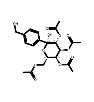 CC(=O)OC[C@H]1O[C@@](O)(c2ccc(CO)cc2)[C@H](OC(C)=O)[C@@H](OC(C)=O)[C@H]1OC(C)=O